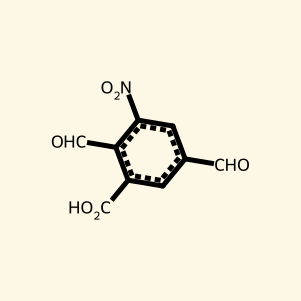 O=Cc1cc(C(=O)O)c(C=O)c([N+](=O)[O-])c1